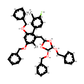 CCc1c(OCc2ccccc2)cc(OCc2ccccc2)c(-c2ccc(F)c(C)c2)c1CC1O[C@H](OCc2ccccc2)[C@@H](OCc2ccccc2)O1